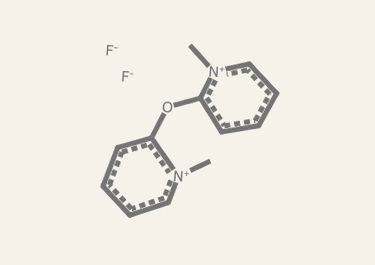 C[n+]1ccccc1Oc1cccc[n+]1C.[F-].[F-]